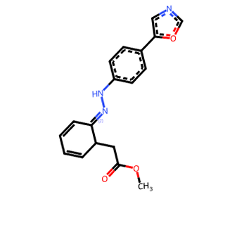 COC(=O)CC1C=CC=C/C1=N\Nc1ccc(-c2cnco2)cc1